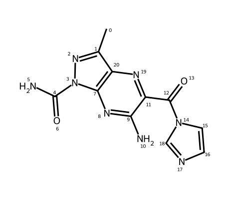 Cc1nn(C(N)=O)c2nc(N)c(C(=O)n3ccnc3)nc12